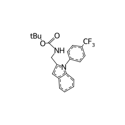 CC(C)(C)OC(=O)NCc1cc2ccccc2n1-c1ccc(C(F)(F)F)cc1